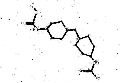 CC(C)OC(=O)NC1CCC(CC2CCC(NC(=O)C(C)C)CC2)CC1